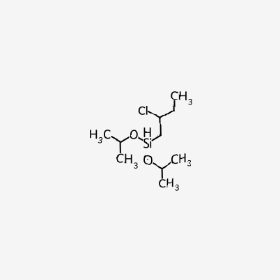 CCC(Cl)C[SiH](OC(C)C)OC(C)C